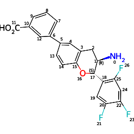 N[C@@H]1Cc2cc(-c3cccc(C(=O)O)c3)ccc2O[C@H]1c1cc(F)c(F)cc1F